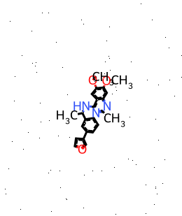 COc1cc2nc(C)nc(NC(C)c3cccc(-c4ccoc4)c3)c2cc1OC